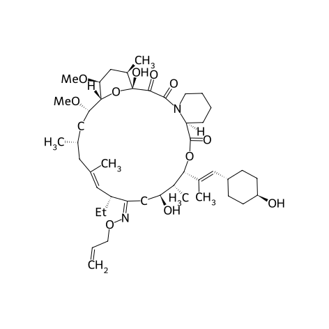 C=CCO/N=C1/C[C@H](O)[C@@H](C)[C@@H](/C(C)=C/[C@H]2CC[C@H](O)CC2)OC(=O)[C@@H]2CCCCN2C(=O)C(=O)[C@]2(O)O[C@H]([C@@H](OC)C[C@@H](C)C/C(C)=C/[C@H]1CC)[C@@H](OC)C[C@H]2C